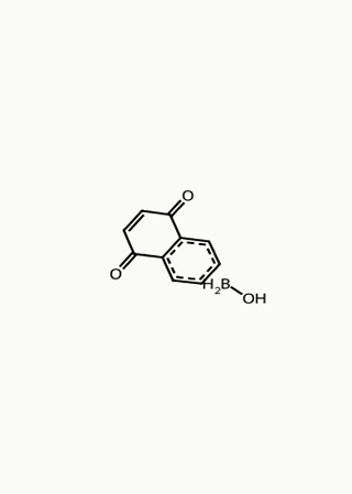 BO.O=C1C=CC(=O)c2ccccc21